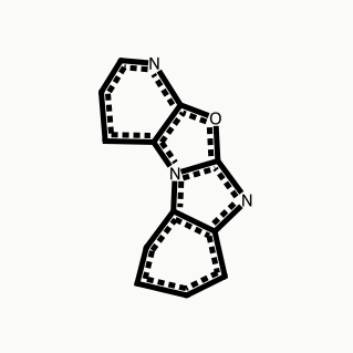 c1ccc2c(c1)nc1oc3ncccc3n12